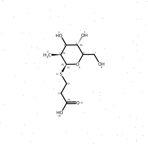 C[C@H]1C(O)[C@H](O)C(CO)O[C@H]1SCCC(=O)O